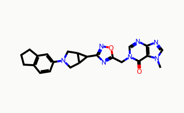 Cn1cnc2ncn(Cc3nc(C4C5CN(c6ccc7c(c6)CCC7)CC54)no3)c(=O)c21